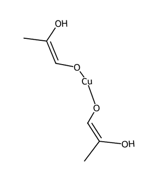 CC(O)=C[O][Cu][O]C=C(C)O